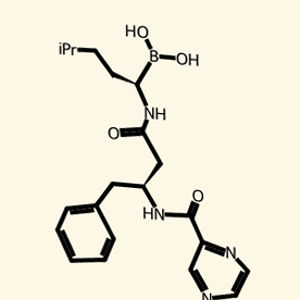 CC(C)CC[C@H](NC(=O)C[C@H](Cc1ccccc1)NC(=O)c1cnccn1)B(O)O